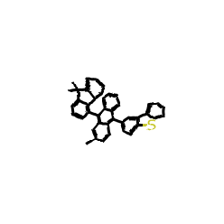 Cc1ccc2c(-c3ccc4sc5ccccc5c4c3)c3ccccc3c(-c3cccc4c3-c3ccccc3C4(C)C)c2c1